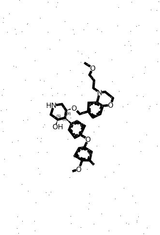 COCCCN1CCOc2ccc(CO[C@H]3CNC[C@@H](O)[C@@H]3c3ccc(Oc4ccc(OC)c(C)c4)cc3)cc21